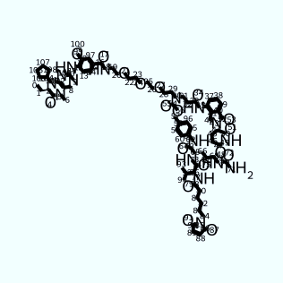 CC[C@@H]1C(=O)N(C)c2cnc(Nc3ccc(C(=O)NCCOCCOCCOCCN(CCC(=O)Nc4cccc5c4CN(C4CCC(=O)NC4=O)C5=O)C(=O)OCc4ccc(NC(=O)[C@H](CCCNC(N)=O)NC(=O)[C@@H](NC(=O)CCCCCN5C(=O)C=CC5=O)C(C)C)cc4)cc3OC)nc2N1C1CCCC1